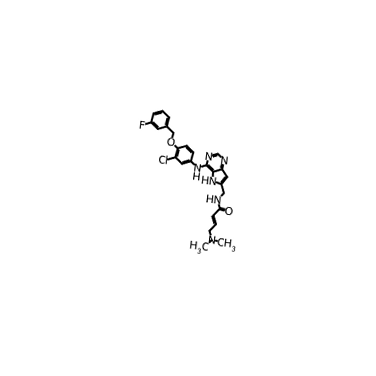 CN(C)C/C=C/C(=O)NCc1cc2ncnc(Nc3ccc(OCc4cccc(F)c4)c(Cl)c3)c2[nH]1